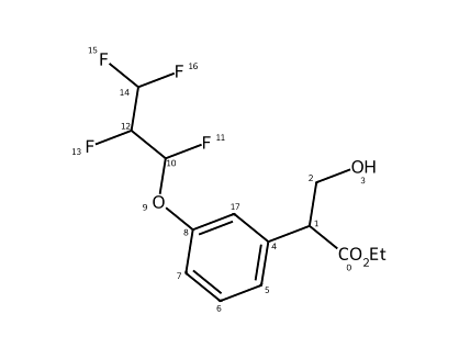 CCOC(=O)C(CO)c1cccc(OC(F)C(F)C(F)F)c1